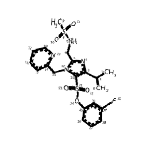 CC(C)c1nc(CNS(C)(=O)=O)n(Cc2ccccn2)c1S(=O)(=O)Oc1cccc(F)c1